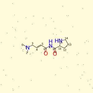 CN(C)CC=CC(=O)NC(=O)C1CCCN1